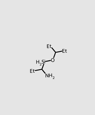 CCC(CC)O[SiH2]C(N)CC